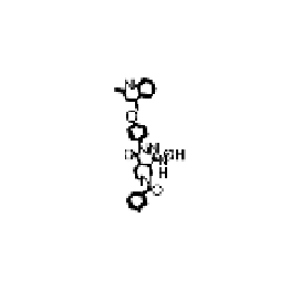 Cc1cc(COc2ccc(NC(=O)C3CCN(C(=O)c4ccccc4)C[C@@H]3C(=O)NO)cc2)c2ccccc2n1